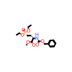 CCOP(=O)(CC[C@H](NC(=O)OCc1ccccc1)C(=O)OC)OCC